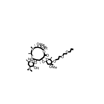 C=CCOCCOCCCO[C@H]1[C@H](C)O[C@@H](O[C@H]2[C@H](C)[C@@H](O[C@@H]3O[C@H](C)C[C@H](N(C)C)[C@H]3O)[C@](C)(O)C[C@@H](C)CN(C)[C@H](C)[C@@H](OC)[C@](C)(O)[C@@H](CC)OC(=O)[C@@H]2C)C[C@@]1(C)OC